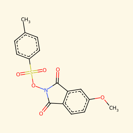 COc1ccc2c(c1)C(=O)N(OS(=O)(=O)c1ccc(C)cc1)C2=O